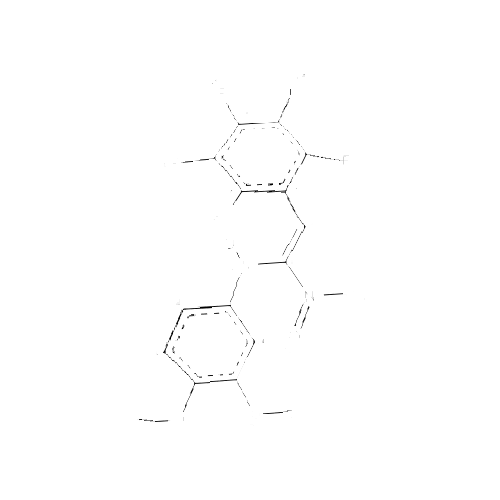 COc1ccc([S+]([O-])/C(=C\c2c(F)c(F)c(F)c(F)c2F)[N+](=O)[O-])cc1OC